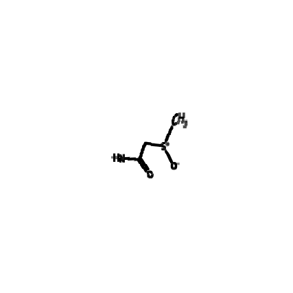 C[S+]([O-])CC([NH])=O